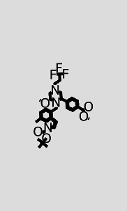 COC(=O)c1ccc(C2CN(CCC(F)(F)F)CCN2Cc2c(OC)cc(C)c3c2ccn3C(=O)OC(C)(C)C)cc1